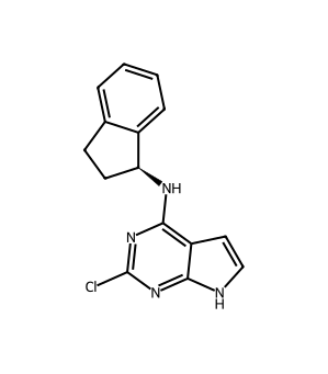 Clc1nc(N[C@H]2CCc3ccccc32)c2cc[nH]c2n1